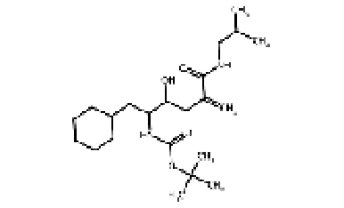 C=C(CC(O)C(CC1CCCCC1)NC(=O)OC(C)(C)C)C(=O)NCC(C)C